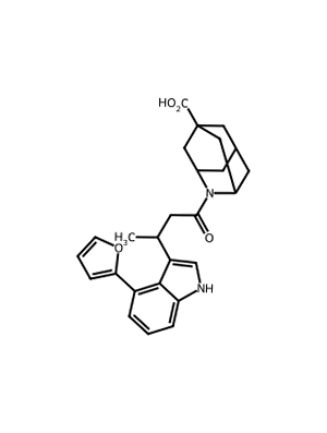 CC(CC(=O)N1C2CC3CC1CC(C(=O)O)(C3)C2)c1c[nH]c2cccc(-c3ccco3)c12